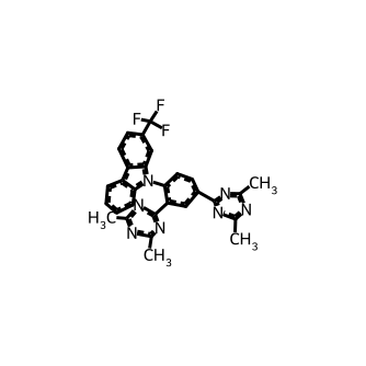 Cc1nc(C)nc(-c2ccc(-n3c4ccccc4c4ccc(C(F)(F)F)cc43)c(-c3nc(C)nc(C)n3)c2)n1